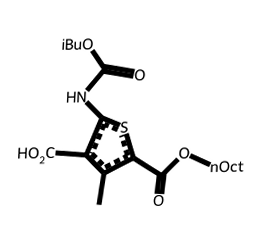 CCCCCCCCOC(=O)c1sc(NC(=O)OCC(C)C)c(C(=O)O)c1C